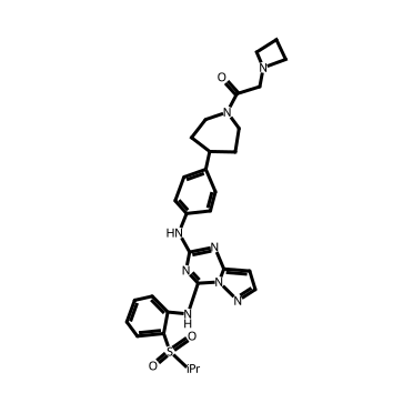 CC(C)S(=O)(=O)c1ccccc1Nc1nc(Nc2ccc(C3CCN(C(=O)CN4CCC4)CC3)cc2)nc2ccnn12